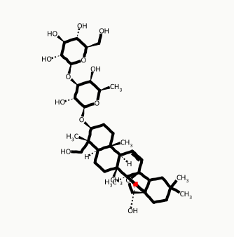 C[C@H]1O[C@@H](O[C@H]2CC[C@@]3(C)[C@@H](CC[C@]4(C)[C@@H]3C=C[C@]35OC[C@@]6(CCC(C)(C)CC63)[C@@H](O)C[C@]54C)[C@]2(C)CO)[C@H](O)[C@@H](O[C@@H]2O[C@H](CO)[C@@H](O)[C@H](O)[C@H]2O)[C@H]1O